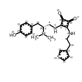 CN(C)[C@@H](CNc1c(NCCc2ccsc2)c(=O)c1=O)Cc1ccc(O)cc1